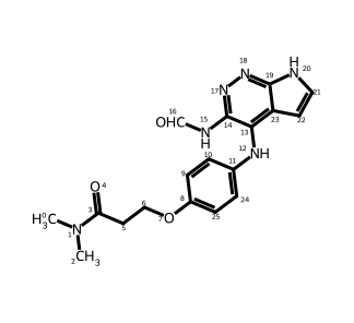 CN(C)C(=O)CCOc1ccc(Nc2c(NC=O)nnc3[nH]ccc23)cc1